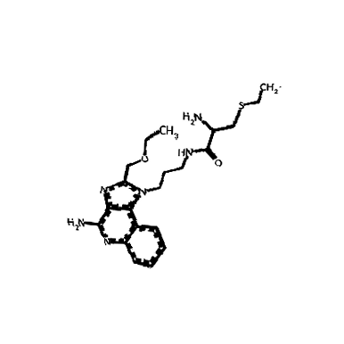 [CH2]CSCC(N)C(=O)NCCCn1c(COCC)nc2c(N)nc3ccccc3c21